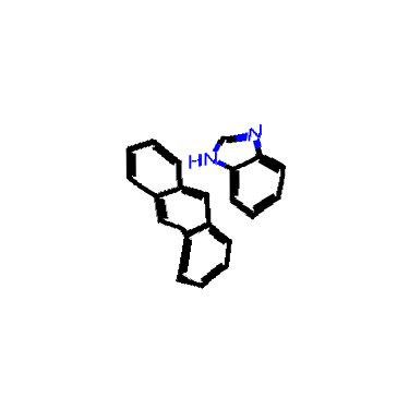 c1ccc2[nH]cnc2c1.c1ccc2cc3ccccc3cc2c1